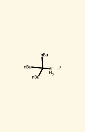 CCCC[C]([AlH3-])(CCCC)CCCC.[Li+]